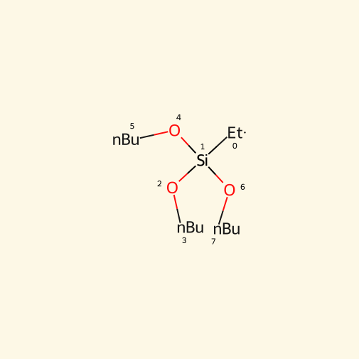 C[CH][Si](OCCCC)(OCCCC)OCCCC